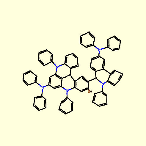 Sc1cc2c(cc1B1c3ccc(N(c4ccccc4)c4ccccc4)cc3-c3ccccc3N1c1ccccc1)B1c3ccccc3N(c3ccccc3)c3cc(N(c4ccccc4)c4ccccc4)cc(c31)N2c1ccccc1